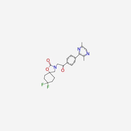 Cc1cnc(C)c(-c2ccc(C(=O)CN3CC4(CCC(F)(F)CC4)OC3=O)cc2)n1